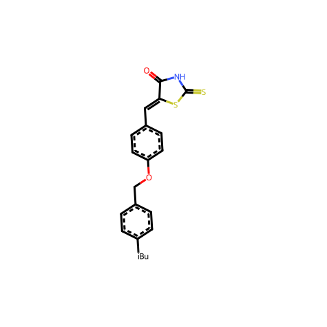 CCC(C)c1ccc(COc2ccc(/C=C3\SC(=S)NC3=O)cc2)cc1